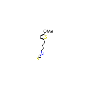 COc1ccc(CCCCN=C=S)s1